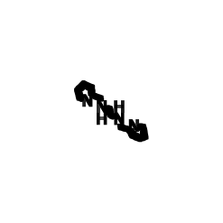 C(=CNCc1ccccn1)NCc1ccccn1